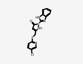 O=c1cc(CSc2ccc(Cl)cn2)[nH]n1-c1nc2ccccc2[nH]1